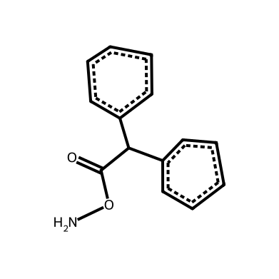 NOC(=O)C(c1ccccc1)c1ccccc1